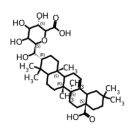 CC1(C)CC[C@]2(C(=O)O)CC[C@]3(C)C(=CCC4[C@@]5(C)CC[C@@H](C(O)[C@@H]6OC(C(=O)O)[C@@H](O)C(O)C6O)C(C)(C)C5CC[C@]43C)C2C1